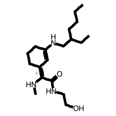 CCCCC(CC)CNC1=C/C(=C(/NC)C(=O)NCCO)CCC1